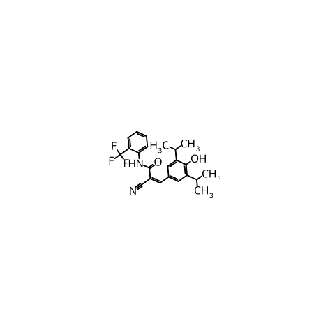 CC(C)c1cc(C=C(C#N)C(=O)Nc2ccccc2C(F)(F)F)cc(C(C)C)c1O